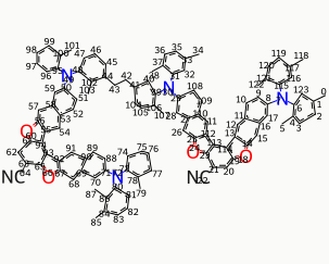 Cc1ccc(C)c(N(c2ccc3cc4c(cc3c2)oc2cc(C#N)c3oc5cc6cc(N(c7cc(C)ccc7C)c7cc(CCc8cccc(N(c9ccc%10cc%11c(cc%10c9)oc9cc(C#N)c%10oc%12cc%13cc(N(c%14ccccc%14C)c%14cccc(C)c%14C)ccc%13cc%12c%10c9%11)c9ccccc9C)c8C)ccc7C)ccc6cc5c3c24)c2cc(C)ccc2C)c1